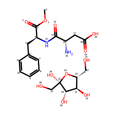 COC(=O)[C@H](Cc1ccccc1)NC(=O)[C@@H](N)CC(=O)O.OC[C@H]1O[C@](O)(CO)[C@@H](O)[C@@H]1O